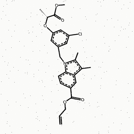 C=CCOC(=O)c1ccc2c(c1)c(C)c(C)n2Cc1cc(Cl)cc(O[C@H](C)C(=O)OC)c1